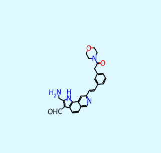 NCc1[nH]c2c(ccc3cnc(/C=C/c4cccc(CC(=O)N5CCOCC5)c4)cc32)c1C=O